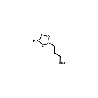 CCCCCCC[SiH]1OO[SiH2]O1